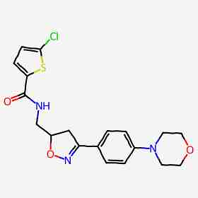 O=C(NCC1CC(c2ccc(N3CCOCC3)cc2)=NO1)c1ccc(Cl)s1